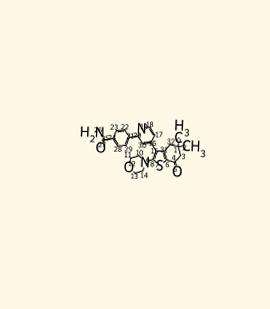 CC1(C)CC(=O)c2sc(N3CCOCC3)c(-c3ccnc(-c4ccc(C(N)=O)cc4)c3)c2C1